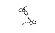 CCn1c2ccccc2c2cc(/C=N/N=C/c3c(CCCC4CO4)ccc4ccccc34)ccc21